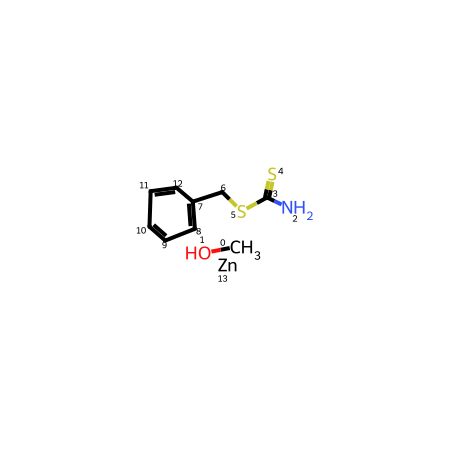 CO.NC(=S)SCc1ccccc1.[Zn]